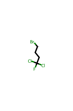 FC(Cl)(Cl)CC[CH]Br